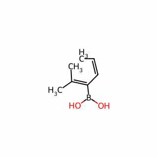 C/C=C\C(B(O)O)=C(C)C